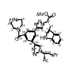 COC(=O)[C@H](Cc1c[nH]c2ccccc12)n1cc(-c2cc(C(=O)N3CCNCC3)cc(-c3cn([C@@H](CC(C)C)C(C)=O)nn3)c2)nn1